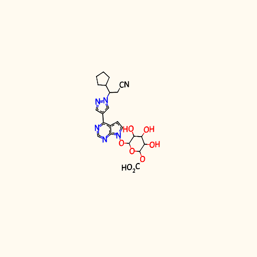 N#CCC(C1CCCC1)n1cc(-c2ncnc3c2ccn3OC2OC(OC(=O)O)C(O)C(O)C2O)cn1